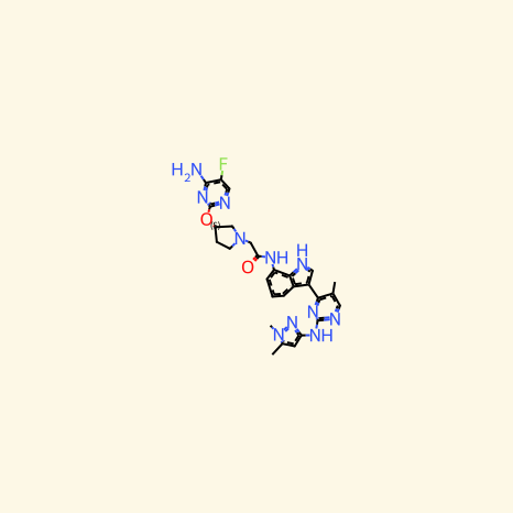 Cc1cnc(Nc2cc(C)n(C)n2)nc1-c1c[nH]c2c(NC(=O)CN3CC[C@H](Oc4ncc(F)c(N)n4)C3)cccc12